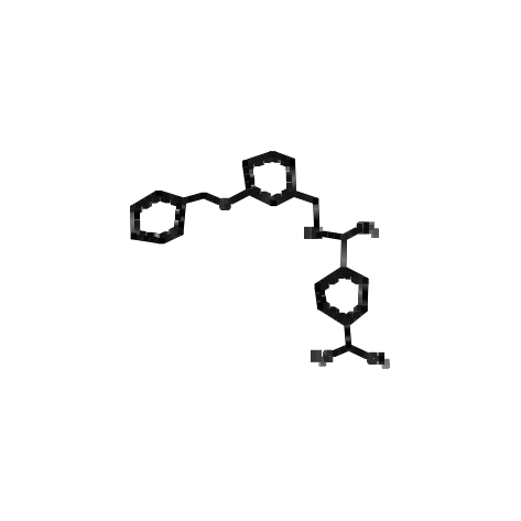 CC(C)c1ccc(C(C)NCc2cccc(OCc3ccccc3)c2)cc1